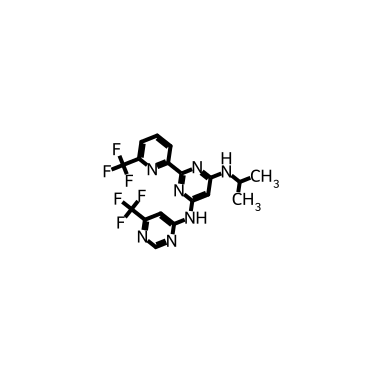 CC(C)Nc1cc(Nc2cc(C(F)(F)F)ncn2)nc(-c2cccc(C(F)(F)F)n2)n1